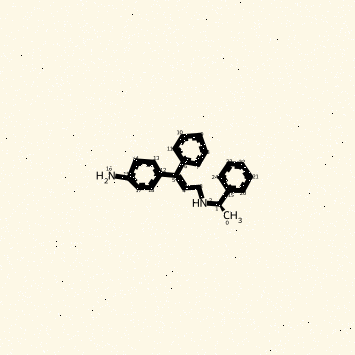 C[C@@H](NC/C=C(\c1ccccc1)c1ccc(N)cc1)c1ccccc1